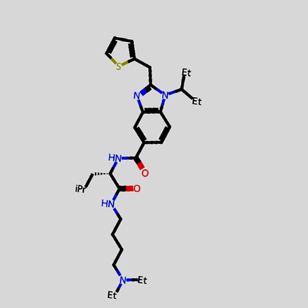 CCC(CC)n1c(Cc2cccs2)nc2cc(C(=O)N[C@@H](CC(C)C)C(=O)NCCCCN(CC)CC)ccc21